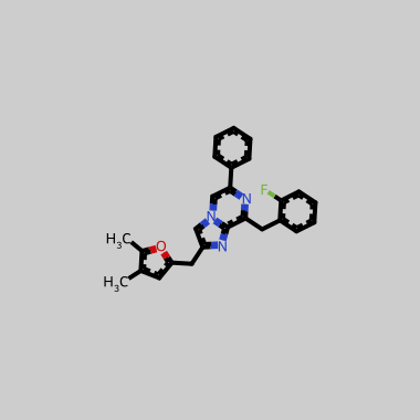 Cc1cc(Cc2cn3cc(-c4ccccc4)nc(Cc4ccccc4F)c3n2)oc1C